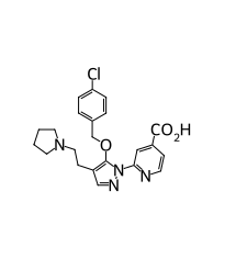 O=C(O)c1ccnc(-n2ncc(CCN3CCCC3)c2OCc2ccc(Cl)cc2)c1